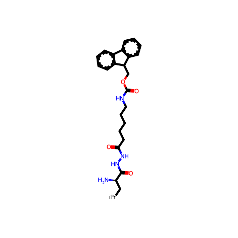 CC(C)C[C@@H](N)C(=O)NNC(=O)CCCCCNC(=O)OCC1c2ccccc2-c2ccccc21